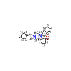 O=C1c2ccccc2CC1(c1ccccc1)N1CCN(CCc2ccccc2)CC1